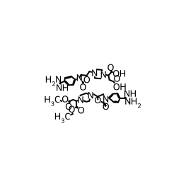 CCOC(=O)CC(C(=O)OCC)N1CCN(CC2CN(c3ccc(C(=N)N)cc3)C(=O)O2)CC1.N=C(N)c1ccc(N2CC(CN3CCN(C(CC(=O)O)C(=O)O)CC3)OC2=O)cc1